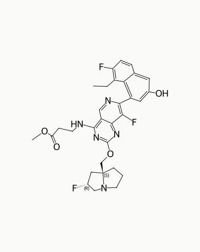 CCc1c(F)ccc2cc(O)cc(-c3ncc4c(NCCC(=O)OC)nc(OC[C@@]56CCCN5C[C@H](F)C6)nc4c3F)c12